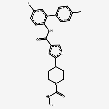 CCCCNC(=S)N1CCC(c2nc(C(=O)Nc3ccc(F)cc3-c3ccc(C)cc3)cs2)CC1